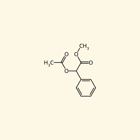 COC(=O)C(OC(C)=O)c1ccccc1